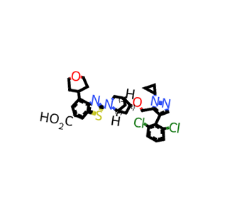 O=C(O)c1cc(C2CCOCC2)c2nc(N3C[C@@H]4C[C@H]3C[C@H]4OCc3c(-c4c(Cl)cccc4Cl)cnn3C3CC3)sc2c1